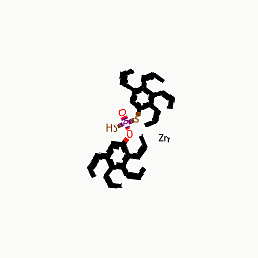 C/C=C\c1cc(OP(=O)(S)Sc2cc(/C=C\C)c(/C=C\C)c(/C=C\C)c2/C=C\C)c(/C=C\C)c(/C=C\C)c1/C=C\C.[Zn]